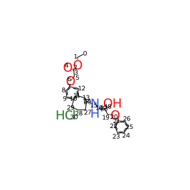 CCOC(=O)COc1ccc2c(c1)C[C@H](NC[C@H](O)COc1ccccc1)CCC2.Cl